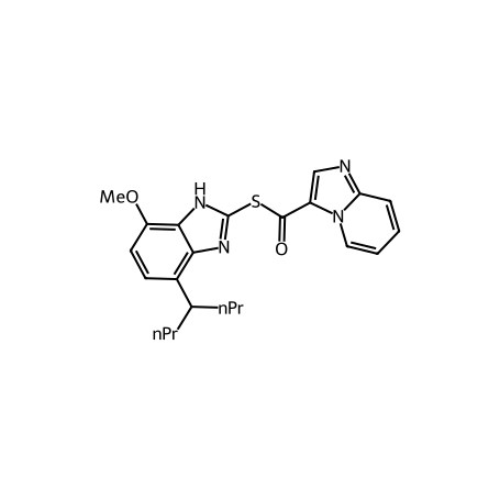 CCCC(CCC)c1ccc(OC)c2[nH]c(SC(=O)c3cnc4ccccn34)nc12